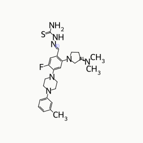 Cc1cccc(N2CCN(c3cc(N4CC[C@@H](N(C)C)C4)c(/C=N/NC(N)=S)cc3F)CC2)c1